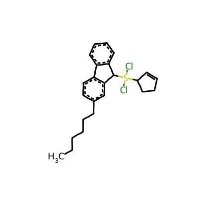 CCCCCCc1ccc2c(c1)C(S(Cl)(Cl)C1C=CCC1)c1ccccc1-2